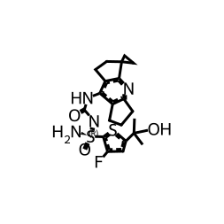 CC(C)(O)c1cc(F)c([S@](N)(=O)=NC(=O)Nc2c3c(nc4c2CCC42CC2)CCC3)s1